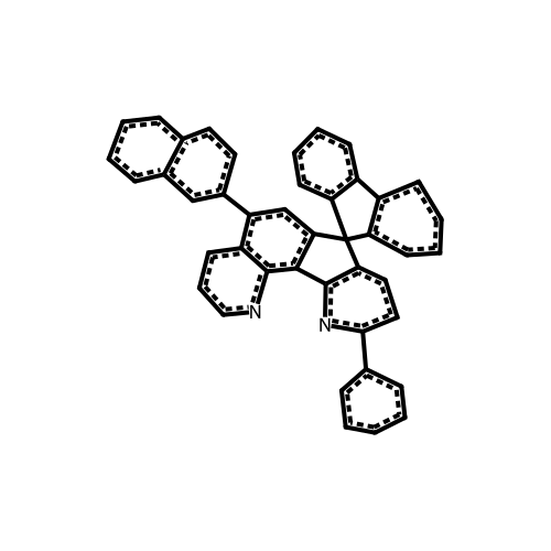 c1ccc(-c2ccc3c(n2)-c2c(cc(-c4ccc5ccccc5c4)c4cccnc24)C32c3ccccc3-c3ccccc32)cc1